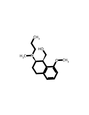 CCCN(C)[C@@H]1CCc2cccc(OC)c2[C@@H]1CO